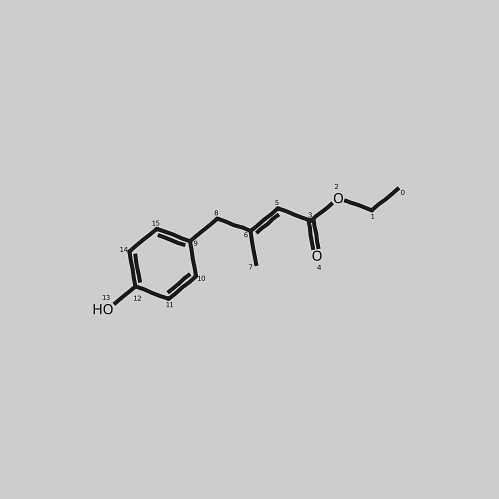 CCOC(=O)/C=C(\C)Cc1ccc(O)cc1